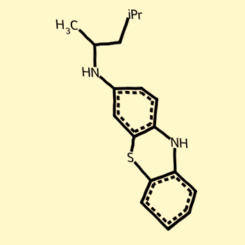 CC(C)CC(C)Nc1ccc2c(c1)Sc1ccccc1N2